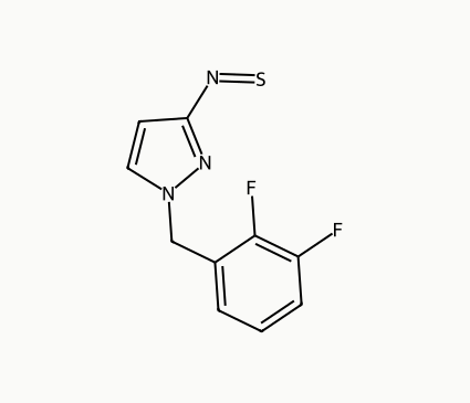 Fc1cccc(Cn2ccc(N=S)n2)c1F